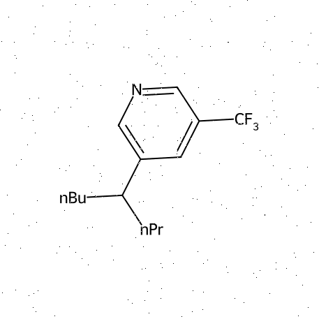 CCCCC(CCC)c1cncc(C(F)(F)F)c1